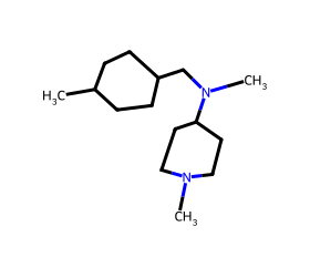 CC1CCC(CN(C)C2CCN(C)CC2)CC1